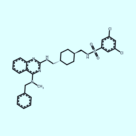 CN(Cc1ccccc1)c1nc(NC[C@H]2CC[C@H](CNS(=O)(=O)c3cc(Cl)cc(Cl)c3)CC2)nc2ccccc12